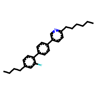 CCCCCCc1ccc(-c2ccc(-c3ccc(CCCC)cc3F)cc2)cn1